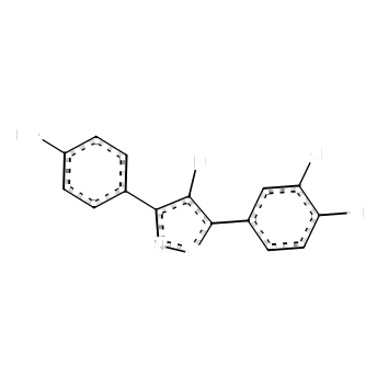 CCc1c(-c2ccc(O)cc2)noc1-c1ccc(O)c(Cl)c1